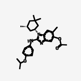 CC(=O)Oc1cc2nc(Nc3ccc(OC(C)C)cc3)n([C@@H]3C[C@H](C)CC(C)(C)C3)c2cc1C